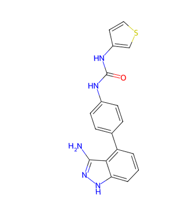 Nc1n[nH]c2cccc(-c3ccc(NC(=O)Nc4ccsc4)cc3)c12